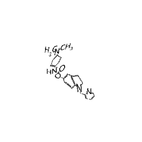 CN(C)c1ccc(NC(=O)Oc2ccc3c(c2)CCN3Cc2ccccn2)cc1